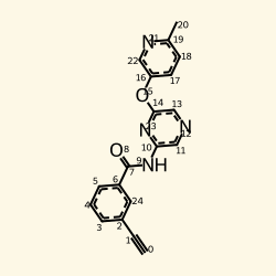 C#Cc1cccc(C(=O)Nc2cncc(Oc3ccc(C)nc3)n2)c1